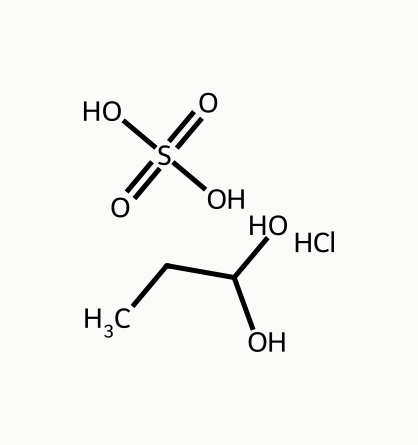 CCC(O)O.Cl.O=S(=O)(O)O